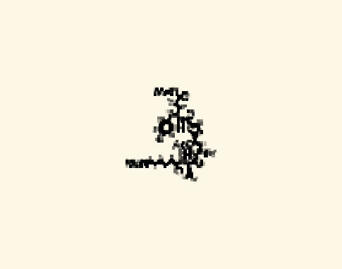 CNCCCCCC(=O)N[C@H](C(=O)N[C@H](C[C@@H](OC(C)=O)c1nc(C(=O)N[C@@H](Cc2ccc(F)cc2)C[C@H](C)C(=O)OC)cs1)C(C)C)C1CC1